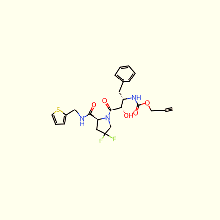 C#CCOC(=O)N[C@@H](Cc1ccccc1)[C@H](O)C(=O)N1CC(F)(F)C[C@H]1C(=O)NCc1cccs1